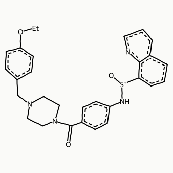 CCOc1ccc(CN2CCN(C(=O)c3ccc(N[S+]([O-])c4cccc5cccnc45)cc3)CC2)cc1